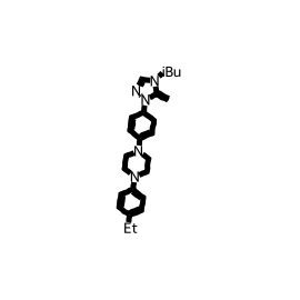 C=C1N(C(C)CC)C=NN1C1C=CC(N2CCN(c3ccc(CC)cc3)CC2)=CC1